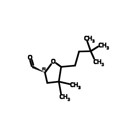 CC(C)(C)CCC1O[C@@H](C=O)CC1(C)C